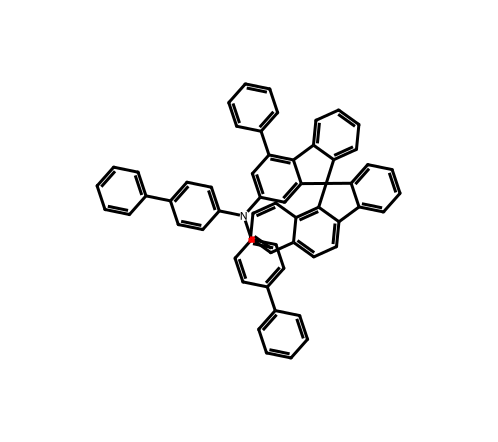 c1ccc(-c2ccc(N(c3ccc(-c4ccccc4)cc3)c3cc(-c4ccccc4)c4c(c3)C3(c5ccccc5-c5ccc6ccccc6c53)c3ccccc3-4)cc2)cc1